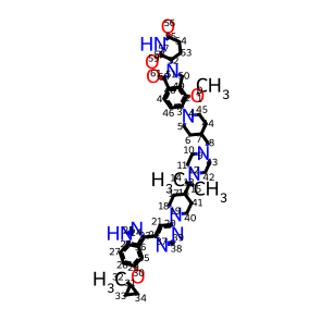 COc1c(N2CCC(CN3CCN(C(C)(C)C4CCN(c5cc(-c6n[nH]c7ccc(OC8(C)CC8)cc67)ncn5)CC4)CC3)CC2)ccc2c1CN(C1CCC(=O)NC1=O)C2=O